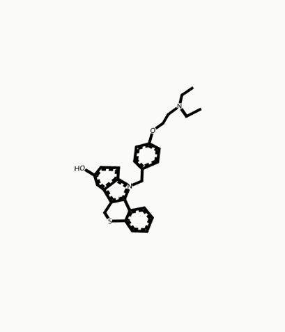 CCN(CC)CCOc1ccc(Cn2c3c(c4cc(O)ccc42)CSc2ccccc2-3)cc1